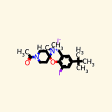 CC(=O)N1CCC2(CC1)Oc1c(I)cc(C(C)(C)C)cc1C[N+]2(C)C.[I-]